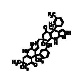 CC1(C)CC(=O)C2=C(C1)Nc1nn(CC3(C)CC(=O)C4=C(C3)Nc3n[nH]cc3C4(C)c3cccc(C(F)(F)F)c3)cc1C2(C)c1cccc(C#N)c1